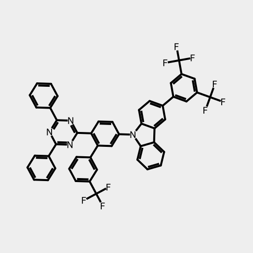 FC(F)(F)c1cccc(-c2cc(-n3c4ccccc4c4cc(-c5cc(C(F)(F)F)cc(C(F)(F)F)c5)ccc43)ccc2-c2nc(-c3ccccc3)nc(-c3ccccc3)n2)c1